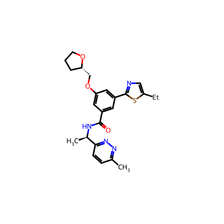 CCc1cnc(-c2cc(OC[C@@H]3CCCO3)cc(C(=O)N[C@H](C)c3ccc(C)nn3)c2)s1